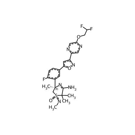 CN=S1(=O)C[C@@](C)(c2cc(-c3cc(-c4cnc(OCC(F)F)cn4)no3)ccc2F)N=C(N)C1(C)C